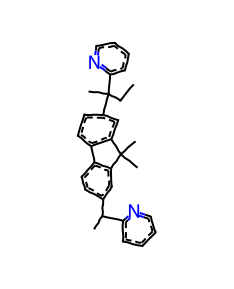 CCC(C)(c1ccc2c(c1)C(C)(C)c1cc(C(C)c3ccccn3)ccc1-2)c1ccccn1